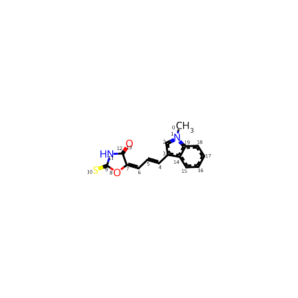 Cn1cc(C=CC=C2OC(=S)NC2=O)c2ccccc21